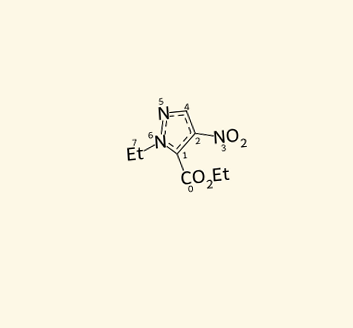 CCOC(=O)c1c([N+](=O)[O-])cnn1CC